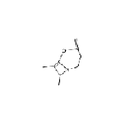 C=C1CCN2C(=C(C)C2C)O1